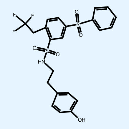 O=S(=O)(NCCc1ccc(O)cc1)c1cc(S(=O)(=O)c2ccccc2)ccc1CC(F)(F)F